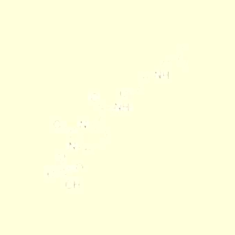 CC(C)CNCCONC(=O)[C@@H]1CCC2CN1C(=O)N2OS(=O)(=O)O